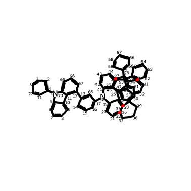 c1ccc(-n2c3ccccc3c3c(-c4cccc(N(c5ccccc5-c5cccc6cccc(C7CCCCC7)c56)c5cccc6c5-c5ccccc5C6(c5ccccc5)c5ccccc5)c4)cccc32)cc1